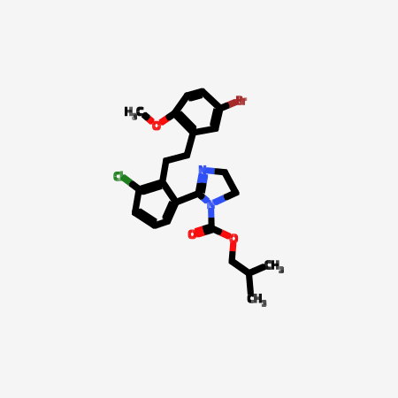 COc1ccc(Br)cc1CCc1c(Cl)cccc1C1=NCCN1C(=O)OCC(C)C